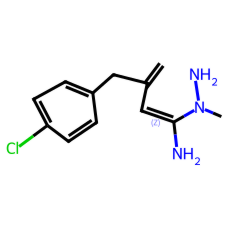 C=C(/C=C(/N)N(C)N)Cc1ccc(Cl)cc1